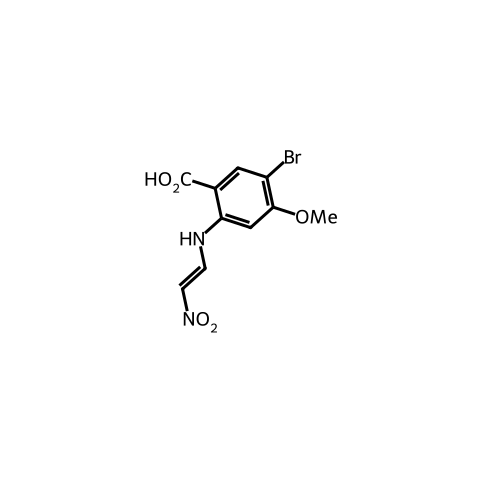 COc1cc(N/C=C/[N+](=O)[O-])c(C(=O)O)cc1Br